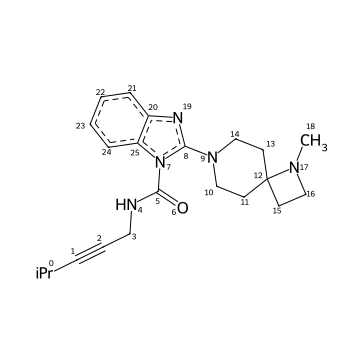 CC(C)C#CCNC(=O)n1c(N2CCC3(CC2)CCN3C)nc2ccccc21